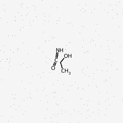 CCO.N=C=O